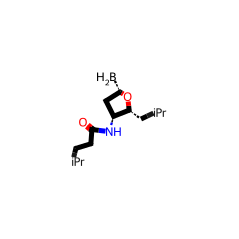 B[C@H]1C[C@@H](NC(=O)CCC(C)C)[C@@H](CC(C)C)O1